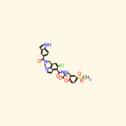 CS(=O)(=O)c1cccc(C[C@H](NC(=O)c2c(Cl)cc3c4c2ccn4CN(C(=O)c2ccc4[nH]ccc4c2)C3)C(=O)O)c1